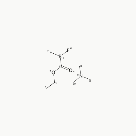 CCOC(=O)B(F)F.CN(C)C